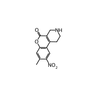 Cc1cc2oc(=O)c3c(c2cc1[N+](=O)[O-])CCNC3